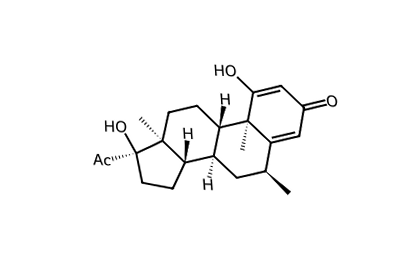 CC(=O)[C@@]1(O)CC[C@H]2[C@@H]3C[C@H](C)C4=CC(=O)C=C(O)[C@]4(C)[C@H]3CC[C@@]21C